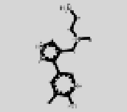 Cc1cc(-c2n[nH]cc2CN(C)CCN)cnc1Cl